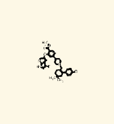 COC(=O)c1ccc(C2=CCN(CC3=C(c4ccc(Cl)cc4)CC(C)(C)CC3)CC2)cc1Oc1cnc2[nH]cc(F)c2c1